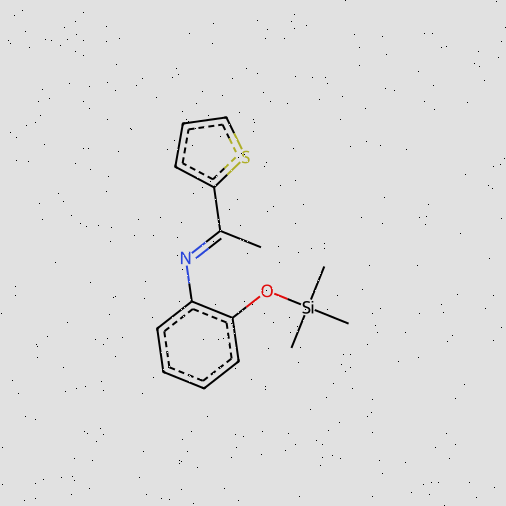 CC(=Nc1ccccc1O[Si](C)(C)C)c1cccs1